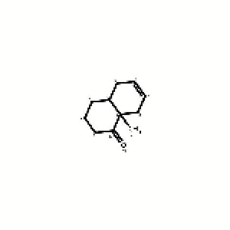 CC12CC=CCC1CCCC2=O